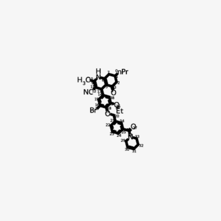 CCCC1CC(=O)C2=C(C1)NC(C)=C(C#N)C2c1cc(Br)c(OCc2cccc(C(=O)N3CC=CCC3)c2)c(OCC)c1